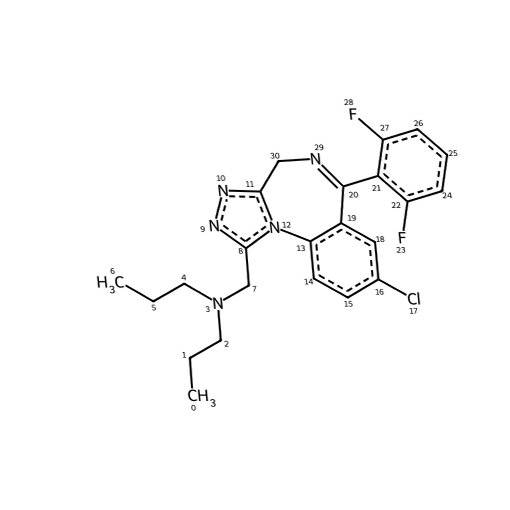 CCCN(CCC)Cc1nnc2n1-c1ccc(Cl)cc1C(c1c(F)cccc1F)=NC2